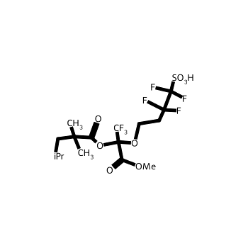 COC(=O)C(OCCC(F)(F)C(F)(F)S(=O)(=O)O)(OC(=O)C(C)(C)CC(C)C)C(F)(F)F